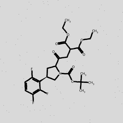 CCOC(=O)C(CC(=O)C1C[C@H](c2c(F)ccc(F)c2F)CN1C(=O)OC(C)(C)C)C(=O)OCC